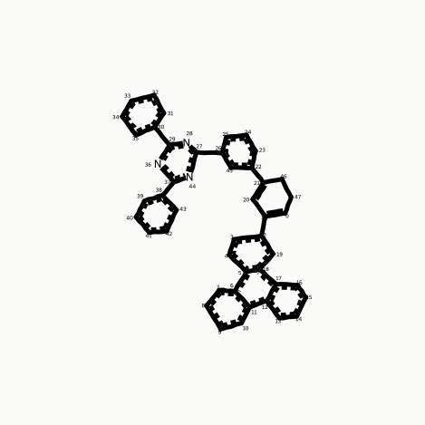 C1=C(c2ccc3c4ccccc4c4ccccc4c3c2)C=C(c2cccc(-c3nc(-c4ccccc4)nc(-c4ccccc4)n3)c2)CC1